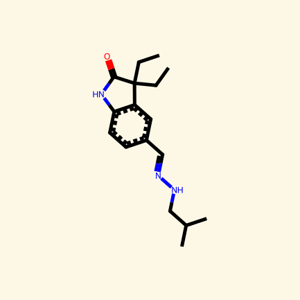 CCC1(CC)C(=O)Nc2ccc(/C=N/NCC(C)C)cc21